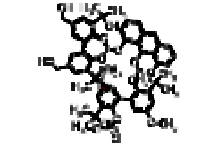 COc1cc(-c2cc(OC)cc(C(C)(C)C)c2OP2Oc3cccc4cc5cccc(Op6oc7c(C(C)(C)C)cc(CO)cc7c7cc(CO)cc(C(C)(C)C)c7o6)c5c(c34)O2)c(OP(Cl)Cl)c(C(C)(C)C)c1